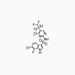 [2H]C([2H])(c1cnc(NS(=O)(=O)c2c[nH]c3c(F)c(Cl)ccc23)nc1OC)C(F)F